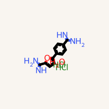 Cl.Cl.N=C(N)c1ccc(-c2ccc(C(=N)N)o2)cc1.O